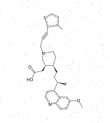 COc1ccc2nccc([C@H](F)CC[C@@H]3CCN(CC#Cc4sccc4C)C[C@@H]3CC(=O)O)c2c1